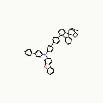 c1ccc(-c2ccc(N(c3ccc(-c4ccc(-c5cccc6c5-c5ccccc5C65C6CC7CC(C6)CC5C7)cc4)cc3)c3ccc4c(c3)oc3ccccc34)cc2)cc1